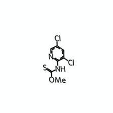 COC(=S)Nc1ncc(Cl)cc1Cl